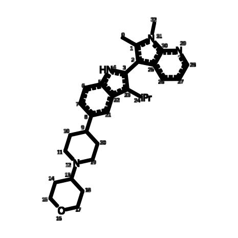 Cc1c(-c2[nH]c3ccc(C4CCN(C5CCOCC5)CC4)cc3c2C(C)C)c2cccnc2n1C